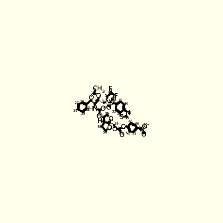 CC(=O)O[C@H](CN(CC(F)F)S(=O)(=O)c1ccc2ncsc2c1)[C@H](Cc1ccccc1)NC(=O)O[C@H]1CO[C@@]2(COC(=O)Oc3ccc([N+](=O)[O-])cc3)OCC[C@@H]12